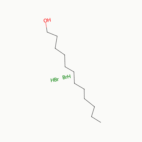 Br.Br.CCCCCCCCCCCCO